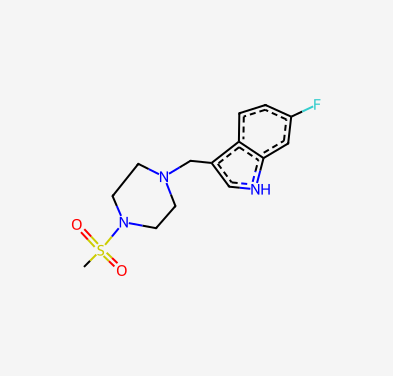 CS(=O)(=O)N1CCN(Cc2c[nH]c3cc(F)ccc23)CC1